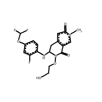 Cn1cc2c(cc1=O)CC(Nc1ccc(OC(F)F)cc1F)N(OCCO)C2=O